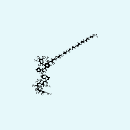 CC[C@H](C)[C@@H]([C@@H](CC(=O)N1CCC[C@H]1[C@H](OC)[C@@H](C)C(=O)N[C@H](C)[C@@H](OC(=O)c1ccc(NC(=O)CCOCCOCCOCCOCCOCCOCCOCCOCCN)cc1O[C@@H]1O[C@H](C(=O)O)[C@@H](O)[C@H](O)[C@H]1O)c1ccccc1)OC)N(C)C(=O)[C@@H](NC(=O)[C@H](C(C)C)N(C)C(=O)OC(C)(C)C)C(C)C